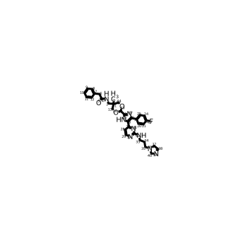 CC1(CNC(=O)Cc2ccccc2)COC(c2nc(-c3ccc(F)cc3)c(-c3ccnc(NCCCN4CC=NC4)n3)[nH]2)OC1